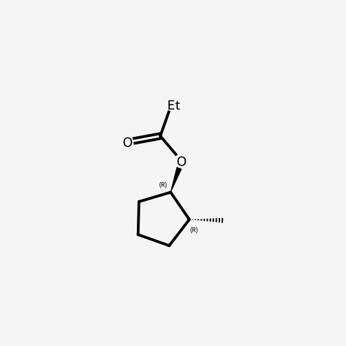 CCC(=O)O[C@@H]1CCC[C@H]1C